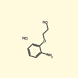 Cl.Nc1ccccc1OCCO